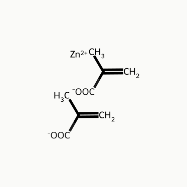 C=C(C)C(=O)[O-].C=C(C)C(=O)[O-].[Zn+2]